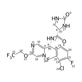 O=C1NC[C@@H](C(=O)N[C@@H](c2cnc(OCC(F)(F)F)cn2)c2ccc(F)c(Cl)c2F)N1